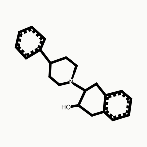 OC1Cc2ccccc2CC1N1CCC(c2ccccc2)CC1